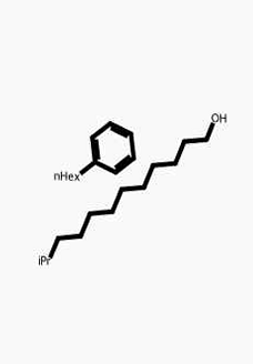 CC(C)CCCCCCCCCCO.CCCCCCc1ccccc1